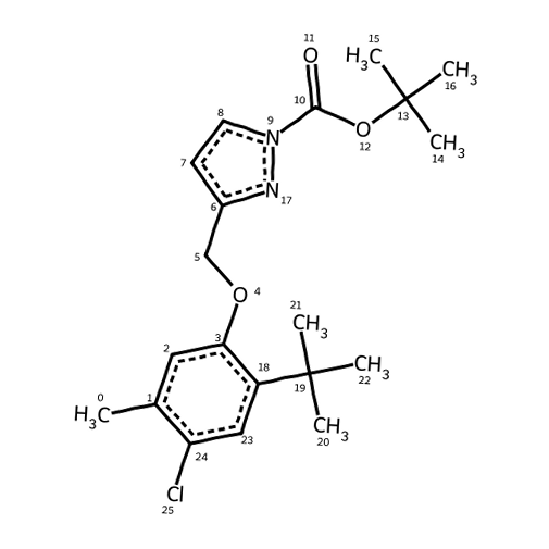 Cc1cc(OCc2ccn(C(=O)OC(C)(C)C)n2)c(C(C)(C)C)cc1Cl